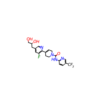 O=C(Nc1ccc(C(F)(F)F)cn1)N1CC=C(c2ncc(CC(O)CO)cc2F)CC1